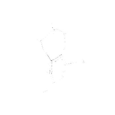 COc1cc(O)c2c(n1)CCNCC2